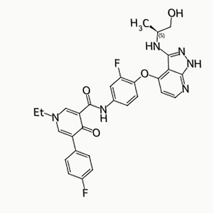 CCn1cc(C(=O)Nc2ccc(Oc3ccnc4[nH]nc(N[C@@H](C)CO)c34)c(F)c2)c(=O)c(-c2ccc(F)cc2)c1